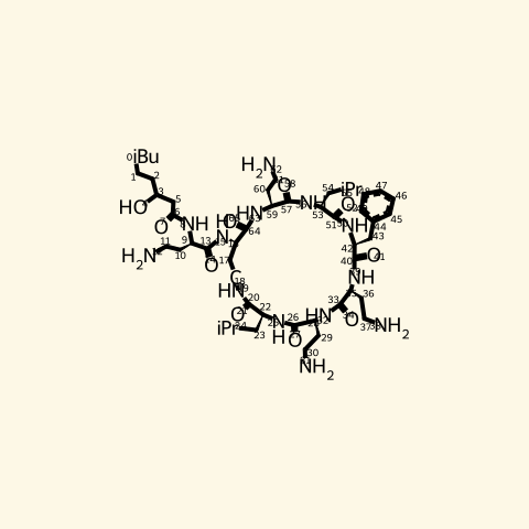 CCC(C)CCC(O)CC(=O)N[C@H](CCN)C(=O)N[C@H]1CCNC(=O)[C@H](CC(C)C)NC(=O)[C@H](CCN)NC(=O)[C@H](CCN)NC(=O)[C@H](Cc2ccccc2)NC(=O)[C@H](CC(C)C)NC(=O)[C@H](CCN)NC1=O